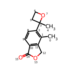 Cc1c(C2(C)CCO2)ccc2c1COC2=O